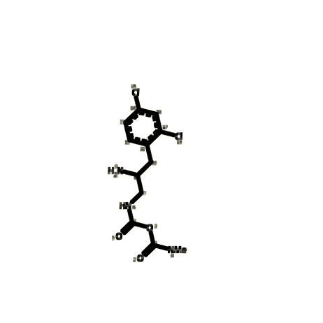 CNC(=O)OC(=O)NCC(N)Cc1ccc(Cl)cc1Cl